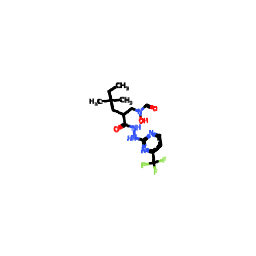 CCC(C)(C)CC(CN(O)C=O)C(=O)NNc1nccc(C(F)(F)F)n1